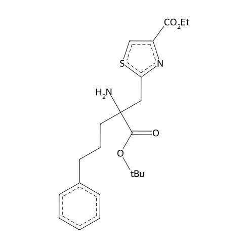 CCOC(=O)c1csc(CC(N)(CCCc2ccccc2)C(=O)OC(C)(C)C)n1